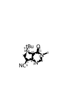 Cn1cnc2c(C#N)cn(C(C)(C)C)c2c1=O